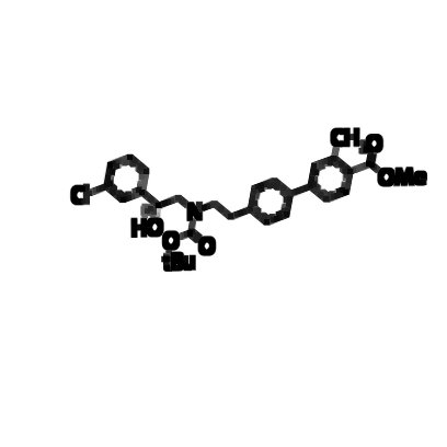 COC(=O)c1ccc(-c2ccc(CCN(C[C@H](O)c3cccc(Cl)c3)C(=O)OC(C)(C)C)cc2)cc1C